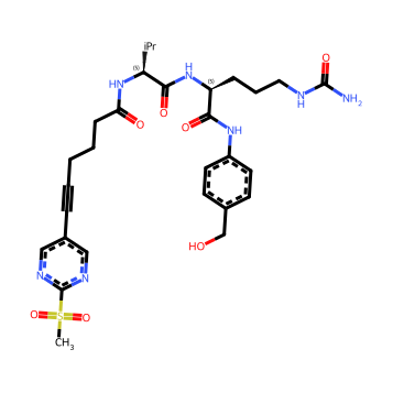 CC(C)[C@H](NC(=O)CCCC#Cc1cnc(S(C)(=O)=O)nc1)C(=O)N[C@@H](CCCNC(N)=O)C(=O)Nc1ccc(CO)cc1